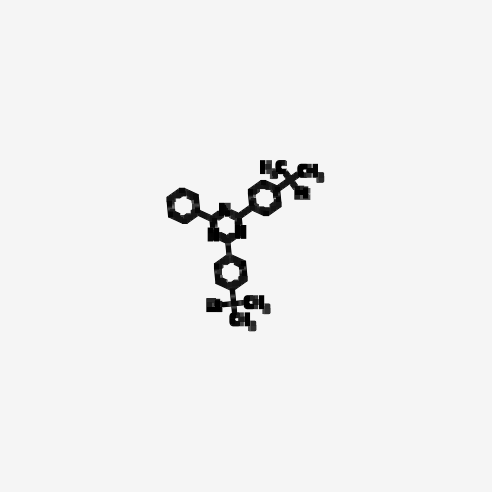 CCC(C)(C)c1ccc(-c2nc(-c3ccccc3)nc(-c3ccc(C(C)(C)CC)cc3)n2)cc1